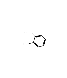 CCCC(C)c1ccccc1C=O